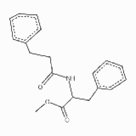 COC(=O)C(Cc1ccccc1)NC(=O)CCc1ccccc1